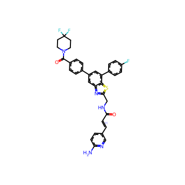 Nc1ccc(/C=C/C(=O)NCc2nc3cc(-c4ccc(C(=O)N5CCC(F)(F)CC5)cc4)cc(-c4ccc(F)cc4)c3s2)cn1